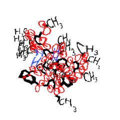 CCCCO[C@@H]1OC(COC(=O)c2ccccc2)[C@@H](O[C@H](OC(CO[C@@H]2OC(COC(C)=O)[C@@H](O[C@@H]3OC(COC(C)=O)[C@H](OC(C)=O)C(OC(C)=O)[C@@H]3OC(C)=O)[C@H](OC(C)=O)C2NC(C)=O)[C@H](O)CO[C@@H]2OC(COC(C)=O)[C@@H](O[C@@H]3OC(COC(C)=O)[C@H](OC(C)=O)C(OC(C)=O)[C@@H]3OC(C)=O)C(OC(C)=O)[C@@H]2NC(C)=O)[C@H](C)OC(=O)c2ccccc2)[C@H](OC(=O)c2ccccc2)C1OC(=O)c1ccccc1